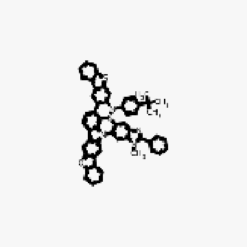 Cn1c(-c2ccccc2)nc2cc3c(cc21)-n1c2cc4c(cc2c2ccc5c(c21)B3N(c1ccc(C(C)(C)C)cc1)c1cc2sc3ccccc3c2cc1-5)oc1ccccc14